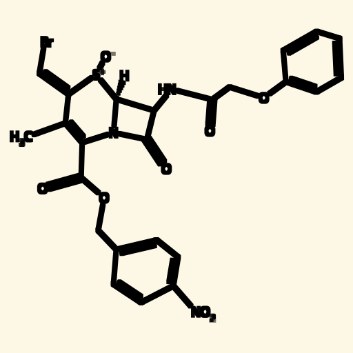 CC1=C(C(=O)OCc2ccc([N+](=O)[O-])cc2)N2C(=O)C(NC(=O)COc3ccccc3)[C@@H]2[S+]([O-])C1=CBr